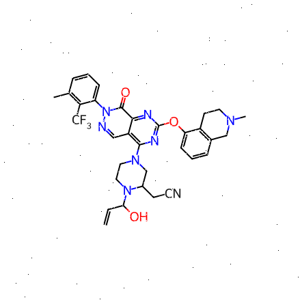 C=CC(O)N1CCN(c2nc(Oc3cccc4c3CCN(C)C4)nc3c(=O)n(-c4cccc(C)c4C(F)(F)F)ncc23)CC1CC#N